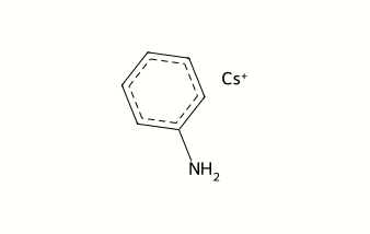 Nc1ccccc1.[Cs+]